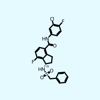 O=C(Nc1ccc(F)c(Cl)c1)c1ccc(F)c2c1CC[C@@H]2NS(=O)(=O)Cc1ccccc1